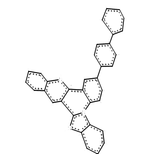 c1ccc(-c2ccc(-c3ccc4c(c3)c3nc5ccccc5cc3c3nc5ccccc5n43)cc2)cc1